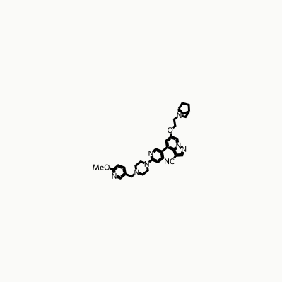 COc1ccc(CN2CCN(c3ccc(-c4cc(OCCN5CC6CCC5C6)cn5ncc(C#N)c45)cn3)CC2)cn1